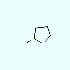 CC[C@@H]1NCC[C@H]1N